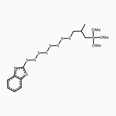 CO[Si](CC(C)CSSSSSSSSc1nc2ccccc2s1)(OC)OC